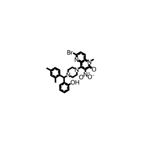 Cc1ccc(C(c2ccccc2O)N2CCN(c3c([N+](=O)[O-])c(=O)n(C)c4ccc(Br)nc34)CC2)c(C)c1